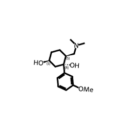 COc1cccc([C@@]2(O)C[C@@H](O)CC[C@H]2CN(C)C)c1